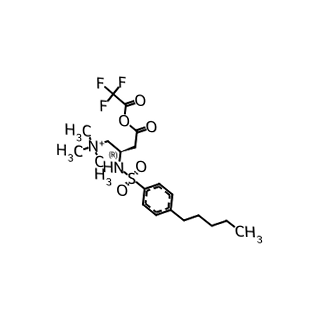 CCCCCc1ccc(S(=O)(=O)N[C@H](CC(=O)OC(=O)C(F)(F)F)C[N+](C)(C)C)cc1